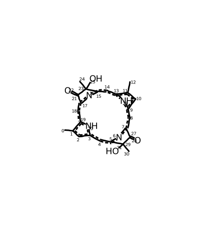 Cc1cc2cc3nc(cc4cc(C)c(cc5nc(cc1[nH]2)C(=O)C5(C)O)[nH]4)C(=O)C3(C)O